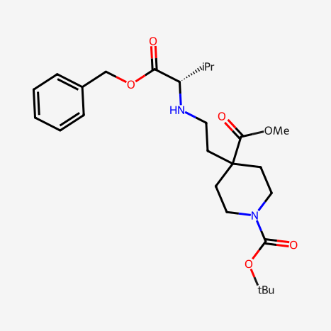 COC(=O)C1(CCN[C@H](C(=O)OCc2ccccc2)C(C)C)CCN(C(=O)OC(C)(C)C)CC1